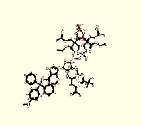 CCOC(=O)C(COC(C)=O)(COP(=O)(OC[C@H]1O[C@@H](n2cnc3c(NC(c4ccccc4)(c4ccccc4)c4ccc(OC)cc4)ncnc32)[C@H](OC(=O)CCC(C)=O)[C@@H]1OCOC(=O)C(C)(C)C)OCC(COC(C)=O)(C(=O)OCC)C(=O)OCC)C(=O)OCC